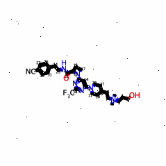 C[N+](C)(CCCO)CCC1CCN(c2cc(N3CCC3C(=O)NCCc3ccc(C#N)cc3)nc(C(F)(F)F)n2)CC1